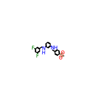 CS(=O)(=O)c1ccc(CNc2cccc(NCc3cc(F)cc(F)c3)c2)cc1